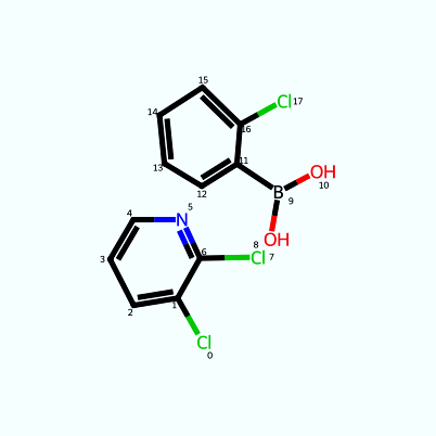 Clc1cccnc1Cl.OB(O)c1ccccc1Cl